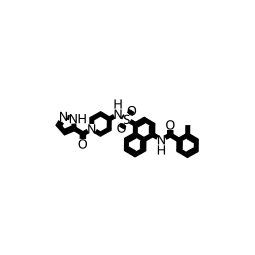 Cc1ccccc1C(=O)Nc1ccc(S(=O)(=O)NC2CCN(C(=O)c3ccn[nH]3)CC2)c2ccccc12